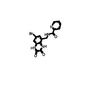 O=C(NCc1cc(Br)cc2[nH]c(=O)c(=O)[nH]c12)c1ccccn1